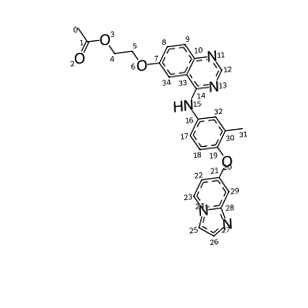 CC(=O)OCCOc1ccc2ncnc(Nc3ccc(Oc4ccn5ccnc5c4)c(C)c3)c2c1